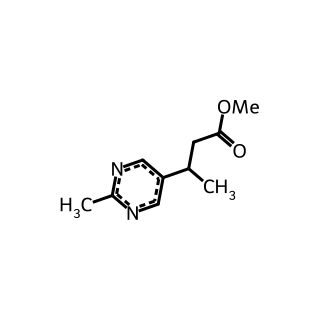 COC(=O)CC(C)c1cnc(C)nc1